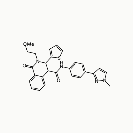 COCCN1C(=O)c2ccccc2C(C(=O)Nc2ccc(-c3ccn(C)n3)cc2)C1c1cccs1